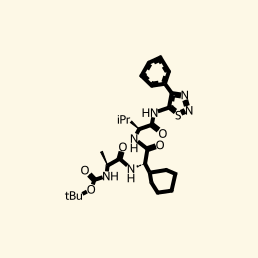 CC(C)[C@H](NC(=O)[C@@H](NC(=O)[C@H](C)NC(=O)OC(C)(C)C)C1CCCCC1)C(=O)Nc1snnc1-c1ccccc1